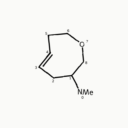 CNC1C/C=C/CCOC1